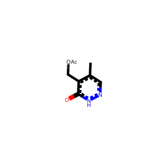 CC(=O)OCc1c(C)cn[nH]c1=O